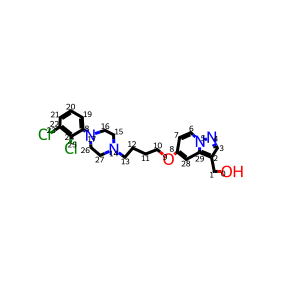 OCc1cnn2ccc(OCCCCN3CCN(c4cccc(Cl)c4Cl)CC3)cc12